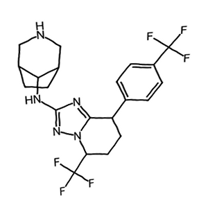 FC(F)(F)c1ccc(C2CCC(C(F)(F)F)n3nc(NC4C5CCC4CNC5)nc32)cc1